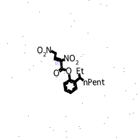 CCCCCC(CC)c1ccccc1OC(=O)/C(=C/C[N+](=O)[O-])[N+](=O)[O-]